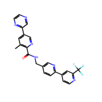 Cc1cc(-c2cnccn2)cnc1C(=O)NCc1ccc(-c2ccnc(C(F)(F)F)c2)nc1